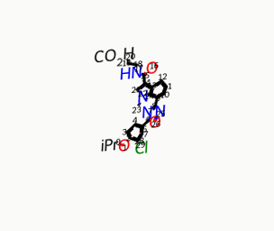 CC(C)Oc1ccc(-c2nc(-c3cccc4c(C(=O)NCCC(=O)O)cn(C)c34)no2)cc1Cl